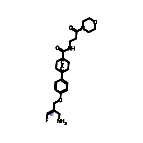 NC/C(=C\F)COc1ccc(C23CCC(C(=O)NCCC(=O)N4CCOCC4)(CC2)CC3)cc1